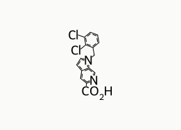 O=C(O)c1cc2ccn(Cc3cccc(Cl)c3Cl)c2cn1